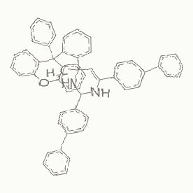 CC1(c2ccccc2C2(c3ccccc3)c3ccccc3Oc3ccccc32)C=C(c2ccc(-c3ccccc3)cc2)NC(c2ccc(-c3ccccc3)cc2)N1